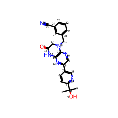 CC(C)(O)c1ccc(-c2cnc3c(n2)NC(=O)CN3Cc2cccc(C#N)c2)cn1